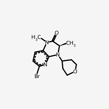 C[C@@H]1C(=O)N(C)c2ccc(Br)nc2N1C1CCOCC1